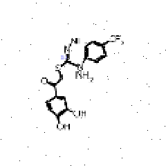 N/N=C(/SCC(=O)c1ccc(O)c(O)c1)N(N)c1ccc(C(F)(F)F)cc1